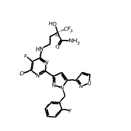 NC(=O)[C@](O)(CCNc1nc(-c2cc(-c3ccon3)n(Cc3ccccc3F)n2)nc(Cl)c1F)C(F)(F)F